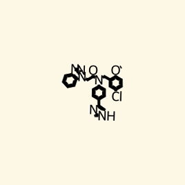 COc1ccc(Cl)cc1CN(C(=O)Cn1nnc2ccccc21)c1ccc(-c2c[nH]cn2)cc1